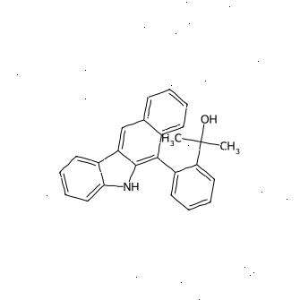 CC(C)(O)c1ccccc1-c1c2ccccc2cc2c1[nH]c1ccccc12